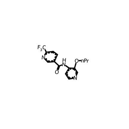 CCCOc1cnccc1NC(=O)c1ccc(C(F)(F)F)nc1